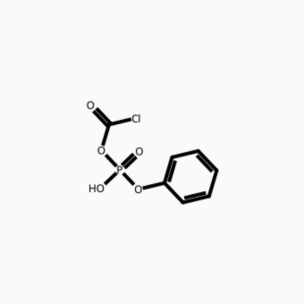 O=C(Cl)OP(=O)(O)Oc1ccccc1